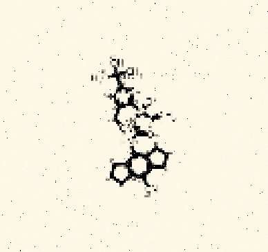 C=NS(=O)(=NC(=O)Nc1c2c(c(C#N)c3c1CCC3)CCC2)c1sc(C(C)(C)O)nc1COC